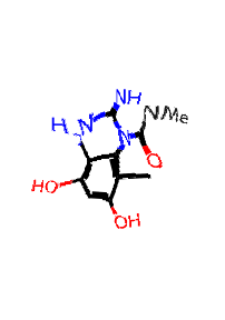 CNC(=O)N(C(=N)N)c1c(C)c(O)cc(O)c1C